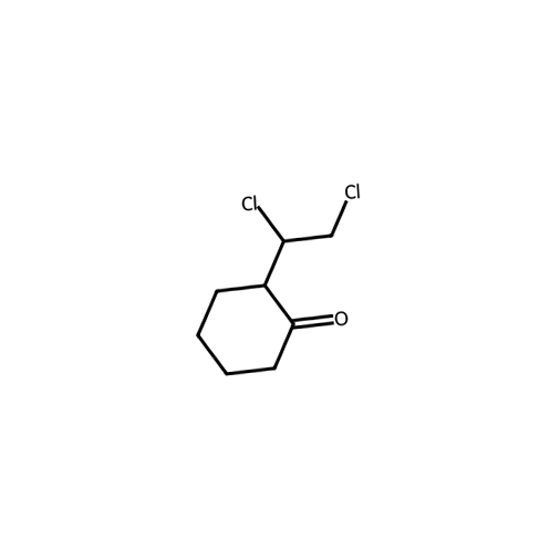 O=C1CCCCC1C(Cl)CCl